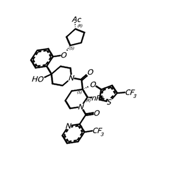 CCC[C@H]1N(C(=O)c2ncccc2C(F)(F)F)CCC[C@@]1(Oc1csc(C(F)(F)F)c1)C(=O)N1CCC(O)(c2ccccc2O[C@H]2CC[C@@H](C(C)=O)C2)CC1